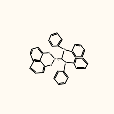 c1ccc(S[PH2](Sc2ccccc2)C(P(c2ccccc2)c2ccccc2)P(c2ccccc2)c2ccccc2)cc1